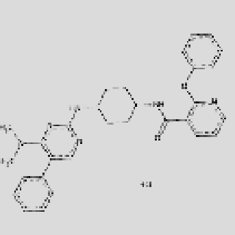 CN(C)c1nc(N[C@H]2CC[C@@H](NC(=O)c3cccnc3Oc3ccccc3)CC2)ncc1-c1ccccc1.Cl